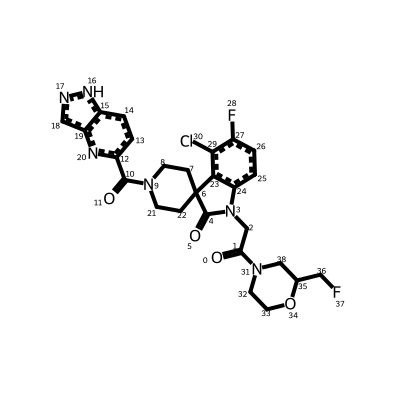 O=C(CN1C(=O)C2(CCN(C(=O)c3ccc4[nH]ncc4n3)CC2)c2c1ccc(F)c2Cl)N1CCOC(CF)C1